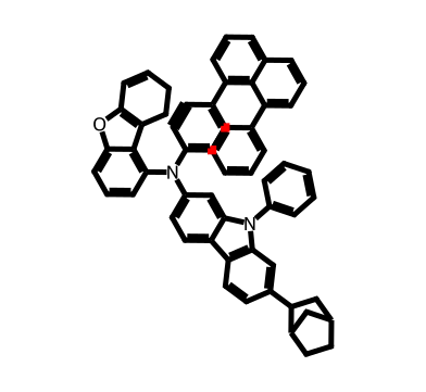 c1c(-c2cccc3cccc(-c4ccccc4)c23)ccc(N(c2ccc3c4ccc(C5CC6CCC5C6)cc4n(-c4ccccc4)c3c2)c2cccc3oc4c(c23)CCC=C4)c#1